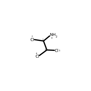 NC(Cl)C(Cl)Cl